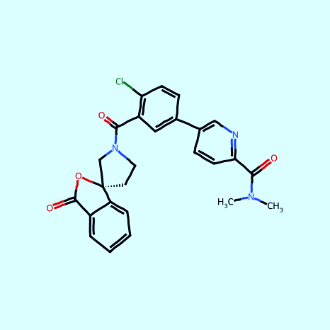 CN(C)C(=O)c1ccc(-c2ccc(Cl)c(C(=O)N3CC[C@@]4(C3)OC(=O)c3ccccc34)c2)cn1